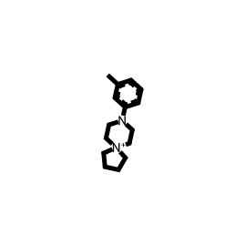 Cc1cccc(N2CC[N+]3(CCCC3)CC2)c1